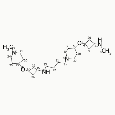 CNC1CC(OC2CCN(CCCCNC3CC(OC4CCN(C)CC4)C3)CC2)C1